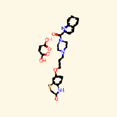 O=C(O)/C=C\C(=O)O.O=C1CSc2cc(OCCCN3CCN(C(=O)c4ccc5ccccc5n4)CC3)ccc2N1